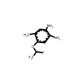 Cc1cc(N)c(N)cc1OC(F)C(F)(F)F